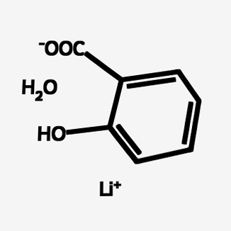 O.O=C([O-])c1ccccc1O.[Li+]